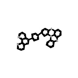 c1ccc2c(c1)Sc1cccc3c1B2c1cc(-c2ccc(-c4cc5cccnc5c5ncccc45)cc2)ccc1S3